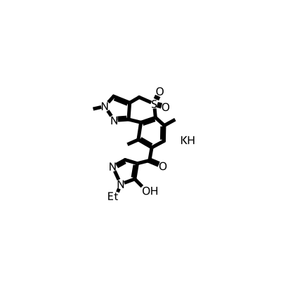 CCn1ncc(C(=O)c2cc(C)c3c(c2C)-c2nn(C)cc2CS3(=O)=O)c1O.[KH]